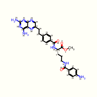 COC(=O)[C@H](CCCNC(=O)c1ccc(N)cc1)NC(=O)c1ccc(CCc2cnc3nc(N)nc(N)c3n2)cc1